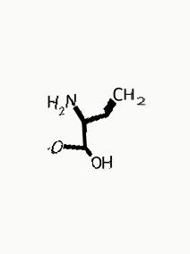 C=CC(N)C([O])O